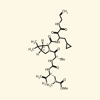 C=CCNC(=O)C(=O)C(CC1CC1)NC(=O)[C@@H]1[C@@H]2[C@H](CN1C(=O)[C@@H](NC(=O)N[C@H](CN(C)C(=O)OC)C(=C)C)C(C)(C)C)C2(C)C